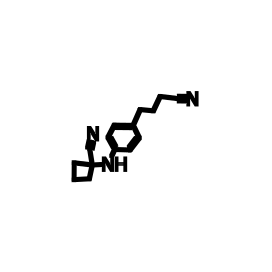 N#CCCCc1ccc(NC2(C#N)CCC2)cc1